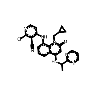 CC(Nc1cc(=O)n(CC2CC2)c2c(Nc3ccnc(Cl)c3C#N)cccc12)c1ncccn1